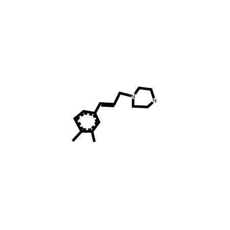 Cc1ccc(/C=C/CN2CC[N]CC2)cc1C